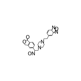 O=NC(CN1CCN(CCc2ccc3nonc3c2)CC1)c1ccc2c(c1)COC2=O